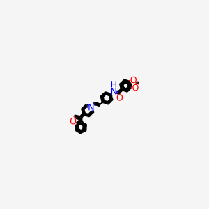 O=C(N[C@H]1CC[C@H](CCN2CCC(c3coc4ccccc34)CC2)CC1)c1ccc2c(c1)OCO2